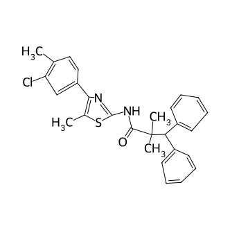 Cc1ccc(-c2nc(NC(=O)C(C)(C)C(c3ccccc3)c3ccccc3)sc2C)cc1Cl